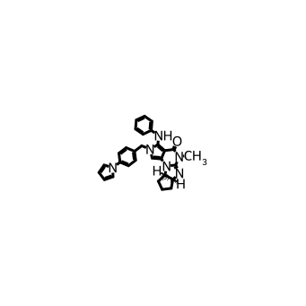 CN1C(=O)c2c(cn(Cc3ccc(-n4cccc4)cc3)c2Nc2ccccc2)N2C1=N[C@@H]1CCC[C@@H]12